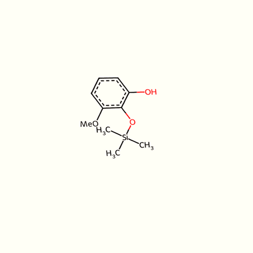 COc1cccc(O)c1O[Si](C)(C)C